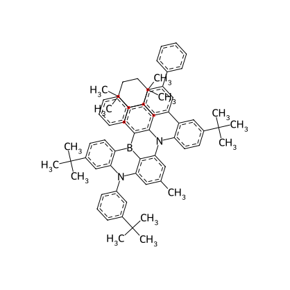 Cc1cc2c3c(c1)N(c1ccc(C(C)(C)C)cc1-c1cc(-c4ccccc4)cc(-c4ccccc4)c1)c1cc4c(cc1B3c1ccc(C(C)(C)C)cc1N2c1cccc(C(C)(C)C)c1)C(C)(C)CCC4(C)C